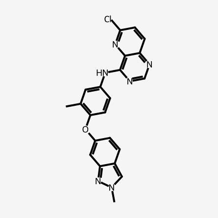 Cc1cc(Nc2ncnc3ccc(Cl)nc23)ccc1Oc1ccc2cn(C)nc2c1